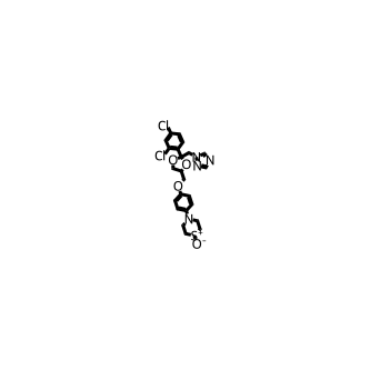 [O-][S+]1CCN(c2ccc(OCC3COC(Cn4cncn4)(c4ccc(Cl)cc4Cl)O3)cc2)CC1